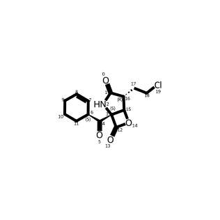 O=C1N[C@@]2(C(=O)[C@@H]3C=CCCC3)C(=O)OC2[C@H]1CCCl